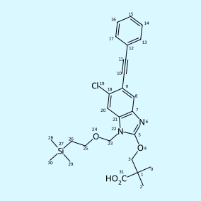 CC(C)(COc1nc2cc(C#Cc3ccccc3)c(Cl)cc2n1COCC[Si](C)(C)C)C(=O)O